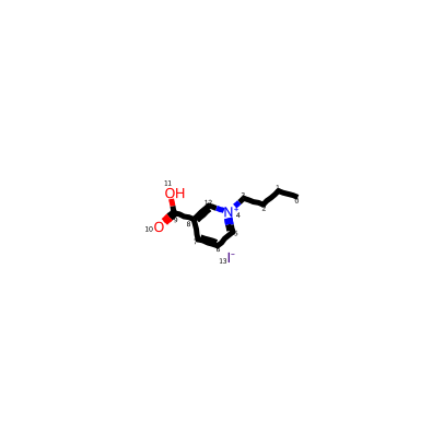 CCCC[n+]1cccc(C(=O)O)c1.[I-]